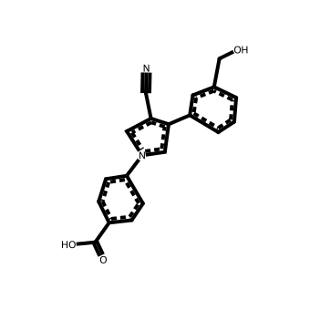 N#Cc1cn(-c2ccc(C(=O)O)cc2)cc1-c1cccc(CO)c1